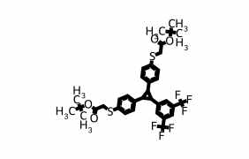 CC(C)(C)OC(=O)CSc1ccc(C2C(c3ccc(SCC(=O)OC(C)(C)C)cc3)C2c2cc(C(F)(F)F)cc(C(F)(F)F)c2)cc1